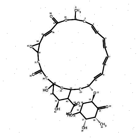 CC1C/C=C/C=C/C=C/C=C/[C@H](O[C@@H]2CC(O)[C@@H](O)[C@@H](C)C2=O)CC2OC(O)(CC(=O)CC3OC3/C=C/C(=O)O1)C[C@H](O)C2C(=O)O